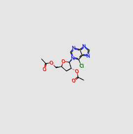 CC(=O)OC[C@@H]1C[C@@H](OC(C)=O)[C@H](n2cnc3ncnc-3c2Cl)O1